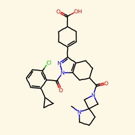 CN1CCCC12CN(C(=O)C1CCc3c(C4=CCC(C(=O)O)CC4)nn(C(=O)c4c(Cl)cccc4C4CC4)c3C1)C2